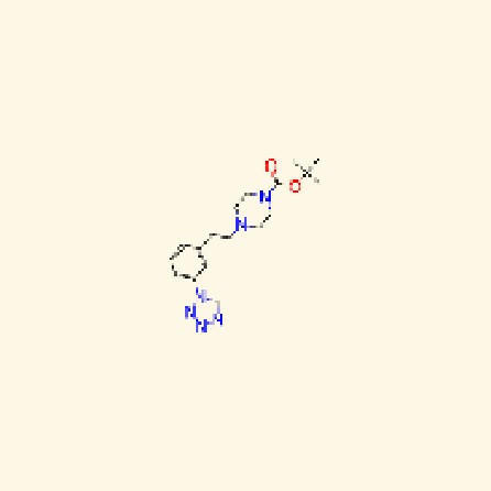 CC(C)(C)OC(=O)N1CCN(CCc2cccc(-n3cnnn3)c2)CC1